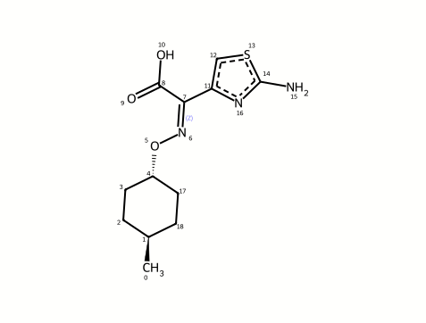 C[C@H]1CC[C@H](O/N=C(\C(=O)O)c2csc(N)n2)CC1